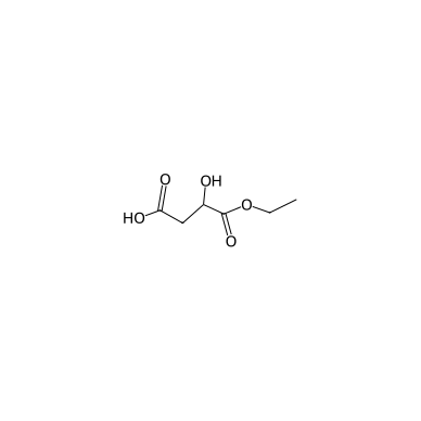 CCOC(=O)C(O)CC(=O)O